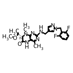 C=C(OC)[C@H]1C(=O)Nc2c(C)nc(NCc3cnn(Cc4c(F)cccc4F)c3)nc2N1C